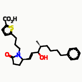 C[C@H](CCCCc1ccccc1)[C@@H](O)C=C[C@H]1CCC(=O)N1CCCc1ccc(C(=O)O)s1